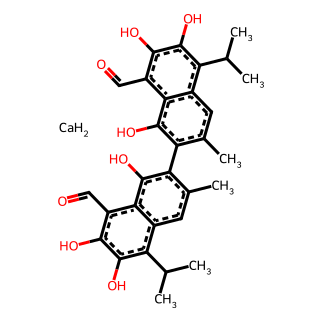 Cc1cc2c(C(C)C)c(O)c(O)c(C=O)c2c(O)c1-c1c(C)cc2c(C(C)C)c(O)c(O)c(C=O)c2c1O.[CaH2]